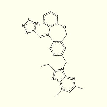 CCc1nc2c(C)cc(C)nc2n1Cc1ccc2c(c1)COc1ccccc1/C2=C\c1nnn[nH]1